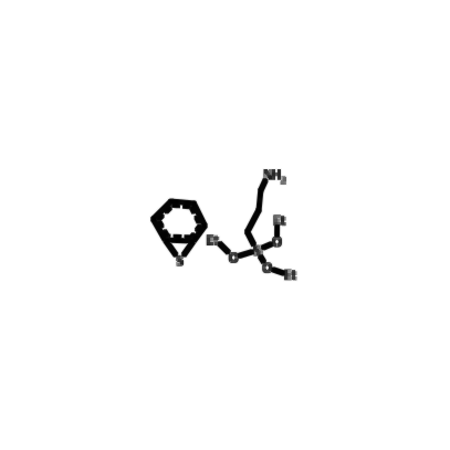 CCO[Si](CCCN)(OCC)OCC.c1ccc2c(c1)S2